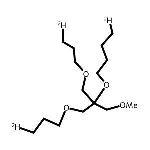 [2H]CCCCOC(COC)(COCCC[2H])COCCC[2H]